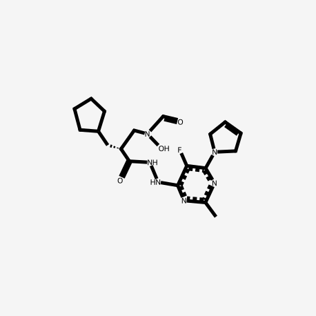 Cc1nc(NNC(=O)[C@H](CC2CCCC2)CN(O)C=O)c(F)c(N2CC=CC2)n1